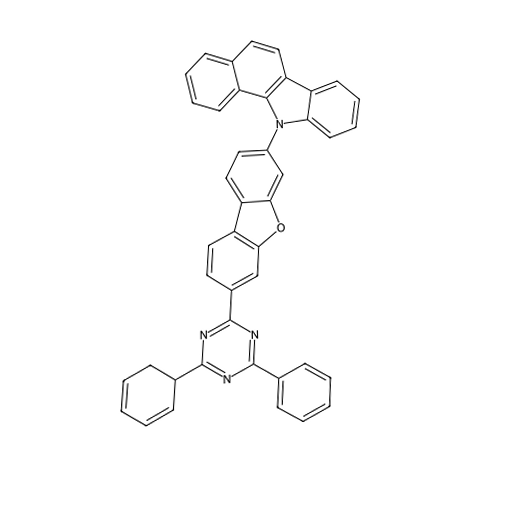 C1=CCC(c2nc(-c3ccccc3)nc(-c3ccc4c(c3)oc3cc(-n5c6ccccc6c6ccc7ccccc7c65)ccc34)n2)C=C1